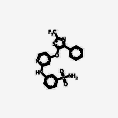 NS(=O)(=O)c1cccc(Nc2cc(Oc3sc(C(F)(F)F)nc3-c3ccccc3)ccn2)c1